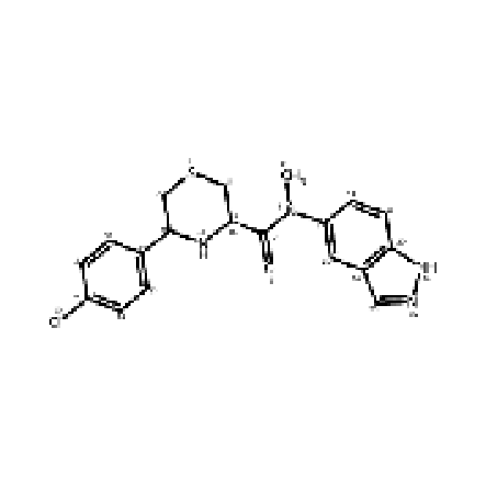 CN(C(=O)[C@@H]1[CH]SCC(c2ccc(Cl)cc2)N1)c1ccc2[nH]ncc2c1